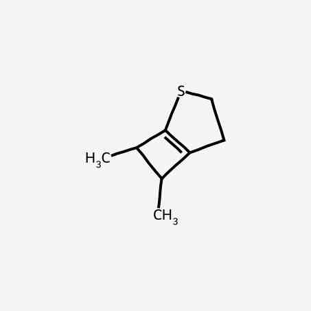 CC1C2=C(SCC2)C1C